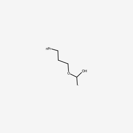 [CH2]C(O)OCCCCCC